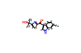 CCC(O)(CC)c1csc(C(=O)c2c[nH]c3cc(F)ccc23)n1